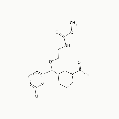 COC(=O)NCCOC(c1cccc(Cl)c1)C1CCCN(C(=O)O)C1